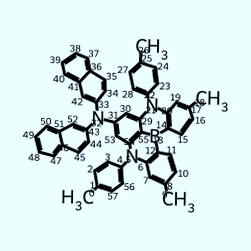 Cc1ccc(N2c3cc(C)ccc3B3c4ccc(C)cc4N(c4ccc(C)cc4)c4cc(N(c5ccc6ccccc6c5)c5ccc6ccccc6c5)cc2c43)cc1